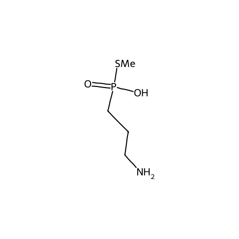 CSP(=O)(O)CCCN